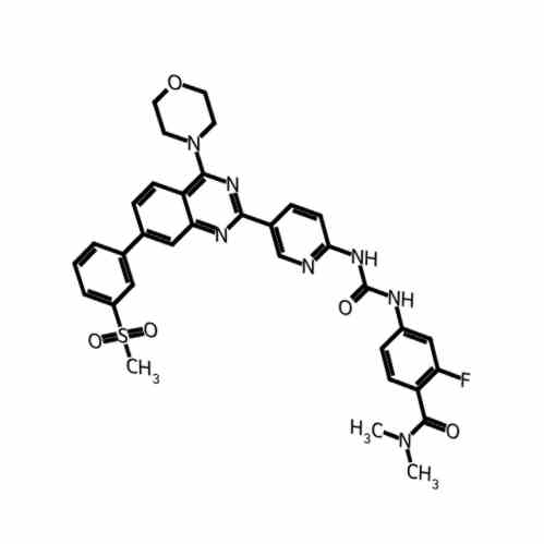 CN(C)C(=O)c1ccc(NC(=O)Nc2ccc(-c3nc(N4CCOCC4)c4ccc(-c5cccc(S(C)(=O)=O)c5)cc4n3)cn2)cc1F